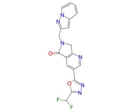 O=C1c2cc(-c3nnc(C(F)F)o3)cnc2CN1Cc1cc2ccccn2n1